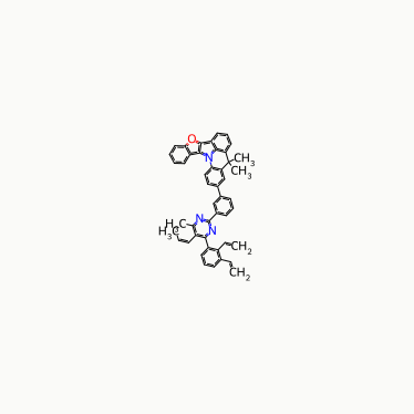 C=Cc1cccc(-c2nc(-c3cccc(-c4ccc5c(c4)C(C)(C)c4cccc6c7oc8ccccc8c7n-5c46)c3)nc(C)c2/C=C\C)c1C=C